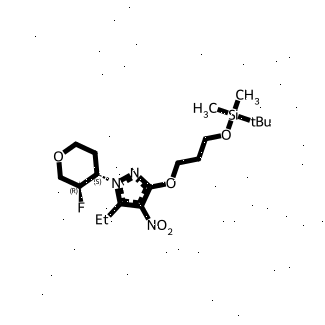 CCc1c([N+](=O)[O-])c(OCCCO[Si](C)(C)C(C)(C)C)nn1[C@H]1CCOC[C@@H]1F